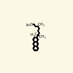 CC(=O)OCCC(C)CCCC(C)(C)c1ccc2cc3ccccc3cc2c1